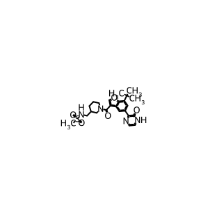 CC(C)(C)c1cc(-c2ncc[nH]c2=O)cc2c(C(=O)N3CCCC(CNS(C)(=O)=O)C3)coc12